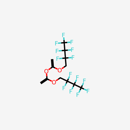 C=C(OCC(F)(F)C(F)(F)C(F)(F)F)OC(=C)OCC(F)(F)C(F)(F)C(F)(F)F